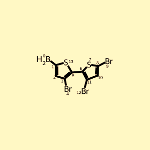 Bc1cc(Br)c(-c2sc(Br)cc2Br)s1